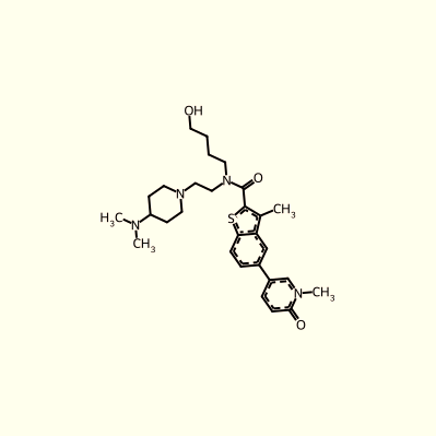 Cc1c(C(=O)N(CCCCO)CCN2CCC(N(C)C)CC2)sc2ccc(-c3ccc(=O)n(C)c3)cc12